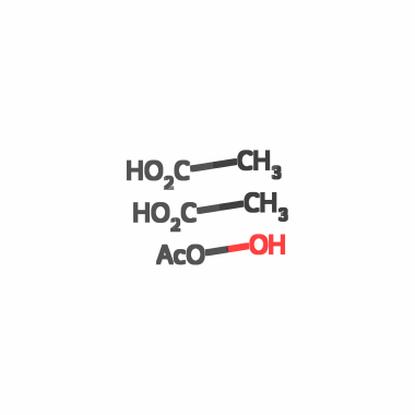 CC(=O)O.CC(=O)O.CC(=O)OO